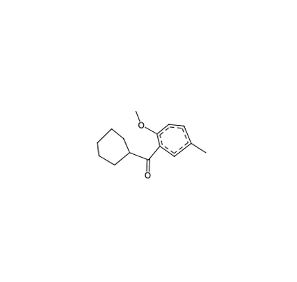 COc1ccc(C)cc1C(=O)C1CCCCC1